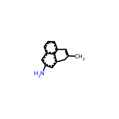 CC1=Cc2cccc3cc(N)cc(c23)C1